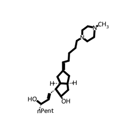 CCCCC[C@H](O)/C=C/[C@@H]1[C@H]2C/C(=C/CCCCN3CCN(C)CC3)C[C@H]2C[C@H]1O